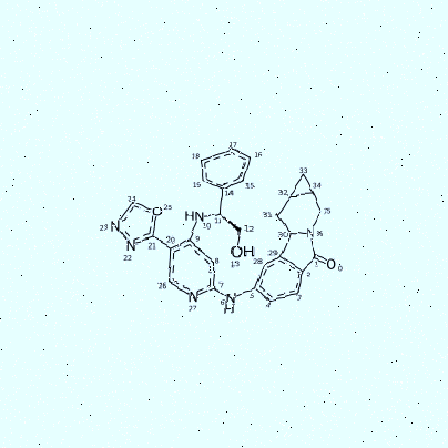 O=C1c2ccc(Nc3cc(N[C@H](CO)c4ccccc4)c(-c4nnco4)cn3)cc2C2CC3CC3CN12